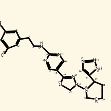 Clc1cc(Cl)cc(CCNc2ncc(C3=NN(N4CCCCC4c4cnn[nH]4)CO3)cn2)c1